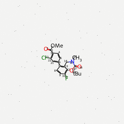 COC(=O)c1ccc(-c2ccc(F)cc2CN(C)C(=O)OC(C)(C)C)cc1Cl